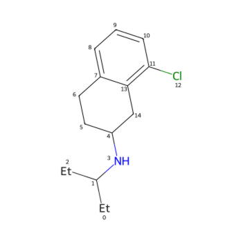 CCC(CC)NC1CCc2cccc(Cl)c2C1